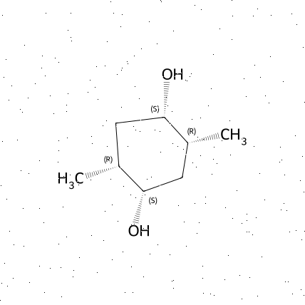 C[C@@H]1C[C@H](O)[C@H](C)C[C@@H]1O